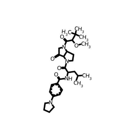 COC(C(=O)N1CC(=O)C2C1CCN2C(=O)C(CC(C)C)NC(=O)c1ccc(N2CCCC2)cc1)C(C)(C)C